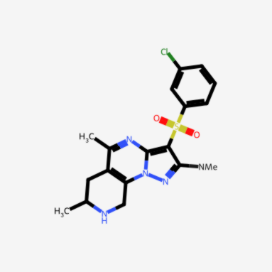 CNc1nn2c3c(c(C)nc2c1S(=O)(=O)c1cccc(Cl)c1)CC(C)NC3